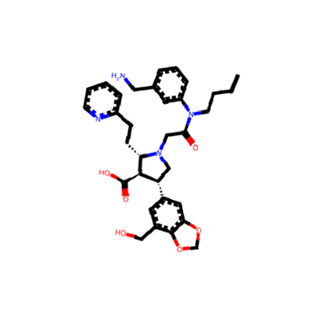 CCCCN(C(=O)CN1C[C@H](c2cc(CO)c3c(c2)OCO3)[C@@H](C(=O)O)[C@@H]1CCc1ccccn1)c1cccc(CN)c1